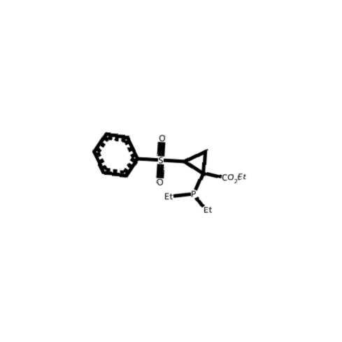 CCOC(=O)C1(P(CC)CC)CC1S(=O)(=O)c1ccccc1